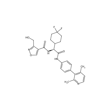 Cc1ccnc(C)c1-c1ccc(NC(=O)[C@@H](NC(=O)c2conc2CO)C2CCC(F)(F)CC2)cc1